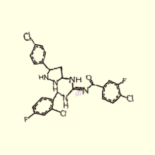 O=C(/N=C(/NCc1ccc(F)cc1Cl)NC1CC(c2ccc(Cl)cc2)NN1)c1ccc(Cl)c(F)c1